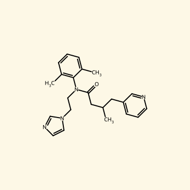 Cc1cccc(C)c1N(CCn1ccnc1)C(=O)CC(C)Cc1cccnc1